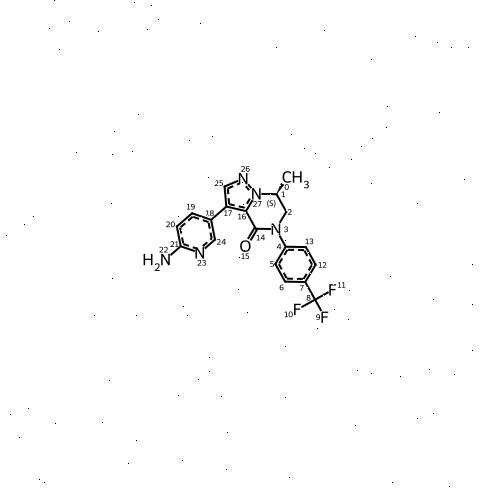 C[C@H]1CN(c2ccc(C(F)(F)F)cc2)C(=O)c2c(-c3ccc(N)nc3)cnn21